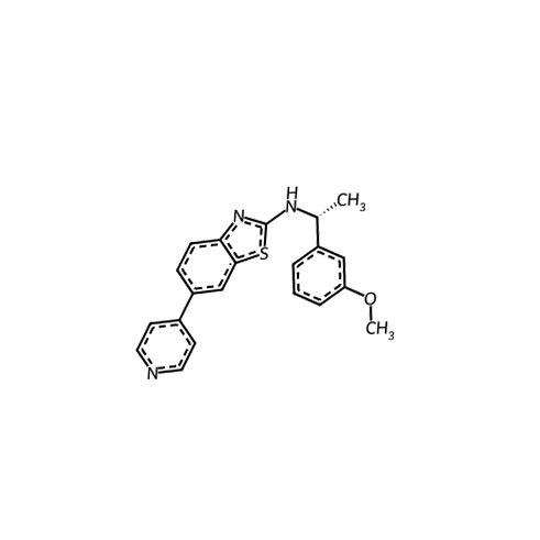 COc1cccc([C@@H](C)Nc2nc3ccc(-c4ccncc4)cc3s2)c1